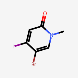 Cn1cc(Br)c(I)cc1=O